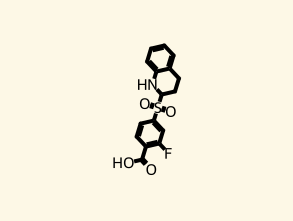 O=C(O)c1ccc(S(=O)(=O)C2CCc3ccccc3N2)cc1F